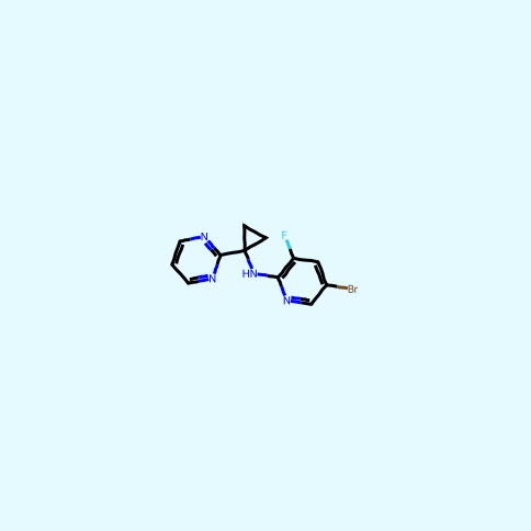 Fc1cc(Br)cnc1NC1(c2ncccn2)CC1